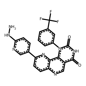 NNc1ccc(-c2ccc3ncc4c(=O)[nH]c(=O)n(-c5cccc(C(F)(F)F)c5)c4c3n2)cn1